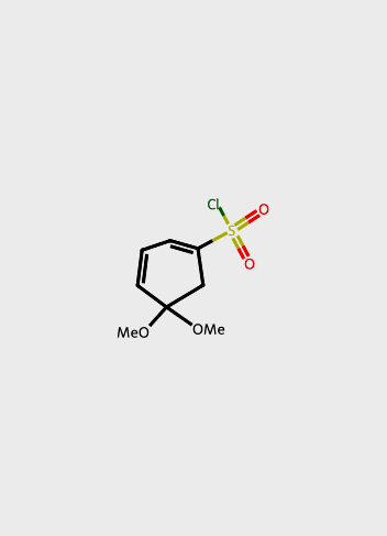 COC1(OC)C=CC=C(S(=O)(=O)Cl)C1